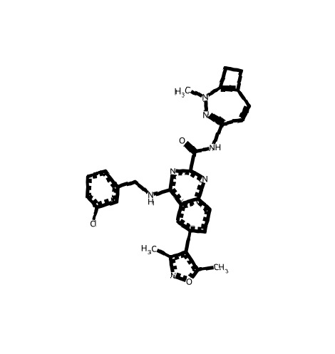 Cc1noc(C)c1-c1ccc2nc(C(=O)NC3=NN(C)C4=C(C=C3)CC4)nc(NCc3cccc(Cl)c3)c2c1